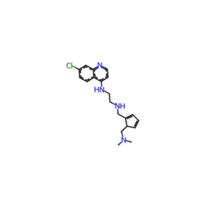 CN(C)CC1C=CC=C1CNCCNc1ccnc2cc(Cl)ccc12